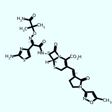 Cc1cc(N2CC/C(=C\C3=C(C(=O)O)N4C(=O)[C@@H](NC(=O)/C(=N\OC(C)(C)C(N)=O)c5csc(N)n5)[C@H]4SC3)C2=O)no1